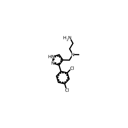 CN(CCN)Cc1c[nH]nc1-c1ccc(Cl)cc1Cl